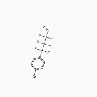 C=CC(F)(F)C(F)(F)C(F)(F)c1ccc(O)cc1